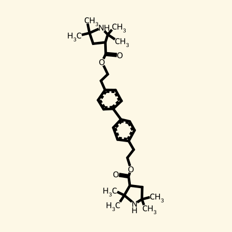 CC1(C)CC(C(=O)OCCc2ccc(-c3ccc(CCOC(=O)C4CC(C)(C)NC4(C)C)cc3)cc2)C(C)(C)N1